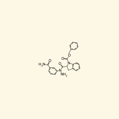 NC(=O)c1cccc(N(N)C(=O)C2Cc3ccccc3N2C(=O)OCc2ccccc2)c1